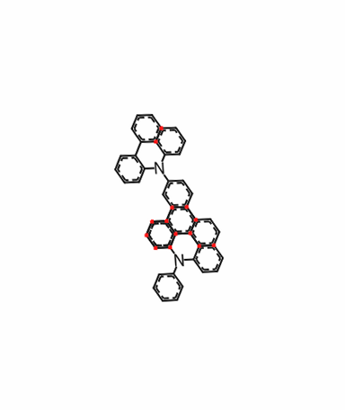 c1ccc(-c2ccccc2-c2ccc(N(c3ccccc3)c3ccccc3-c3ccccc3)cc2-c2cccc(N(c3ccccc3)c3ccccc3-c3ccccc3)c2)cc1